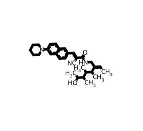 C/C=C(/CNC(=O)/C(C#N)=C/c1ccc2cc(N3CCCCC3)ccc2c1)C(C)C(C)C(C)C(C)O